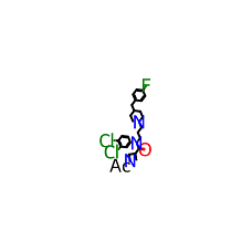 CC(=O)N1CC(C(=O)N(CCCN2CCC(Cc3ccc(F)cc3)CC2)c2ccc(Cl)c(Cl)c2)C1